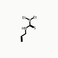 C=CCNC(=S)N(CC)CC